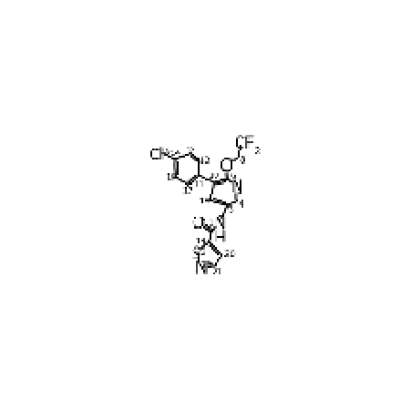 O=C(Nc1cnc(OCC(F)(F)F)c(-c2ccc(Cl)cc2)c1)c1ccns1